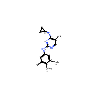 CCc1cc(Nc2ncc(C(F)(F)F)c(NC3CC3)n2)cc(OC)c1OC